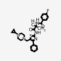 CC(C)(NC(=O)c1ccc(F)cc1)C(=O)Nc1nc(-c2ccccc2)c(CN2CCN(C3CC3)CC2)s1